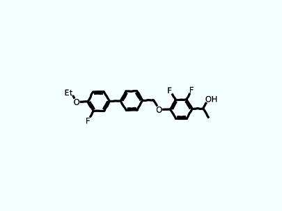 CCOc1ccc(-c2ccc(COc3ccc(C(C)O)c(F)c3F)cc2)cc1F